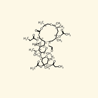 CCC(=O)O[C@@H]1CC(=O)O[C@H](C)CCN(C)N(C)C[C@H](OC(C)=O)[C@H](C)C[C@H](CC=O)[C@H]([C@@H]2O[C@H](C)[C@@H](O[C@@H]3C[C@@](C)(OC(C)=O)[C@@H](OC(=O)CC)[C@H](C)O3)[C@H](N(C)C)[C@H]2O)[C@@H]1OC